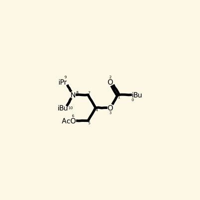 CCC(C)C(=O)OC(COC(C)=O)CN(C(C)C)C(C)CC